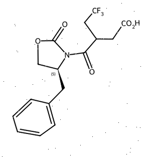 O=C(O)CC(CC(F)(F)F)C(=O)N1C(=O)OC[C@@H]1Cc1ccccc1